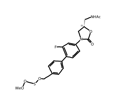 COOSOCc1ccc(-c2ccc(N3C[C@H](CNC(C)=O)OC3=O)cc2F)cc1